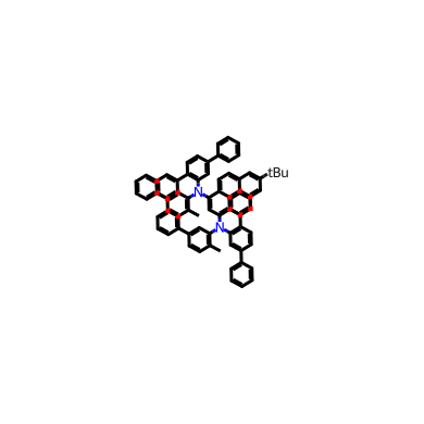 Cc1ccc(-c2ccccc2)cc1N(c1cc(-c2ccccc2)ccc1-c1ccccc1)c1cc(N(c2cc(-c3ccccc3)ccc2C)c2cc(-c3ccccc3)ccc2-c2ccccc2)c2ccc3cc(C(C)(C)C)cc4ccc1c2c43